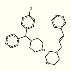 C(=Cc1ccccc1)CN1CCNCC1.Clc1ccc(C(c2ccccc2)N2CCNCC2)cc1